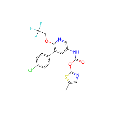 Cc1cnc(OC(=O)Nc2cnc(OCC(F)(F)F)c(-c3ccc(Cl)cc3)c2)s1